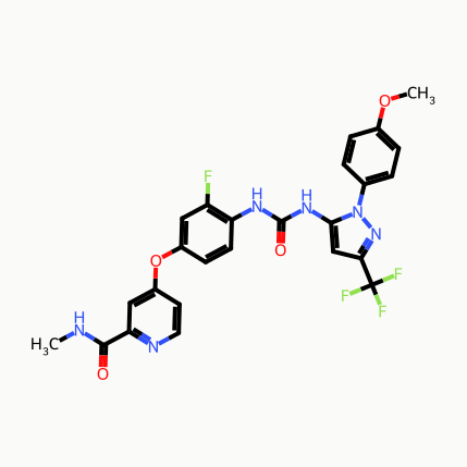 CNC(=O)c1cc(Oc2ccc(NC(=O)Nc3cc(C(F)(F)F)nn3-c3ccc(OC)cc3)c(F)c2)ccn1